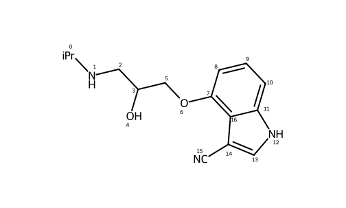 CC(C)NCC(O)COc1cccc2[nH]cc(C#N)c12